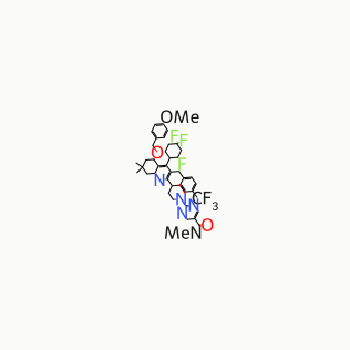 CNC(=O)c1cnc(N2CCC(c3nc4c(c(C5CCC(F)(F)CC5)c3C(F)c3ccc(C(F)(F)F)cc3)[C@@H](OCc3ccc(OC)cc3)CC(C)(C)C4)CC2)nc1